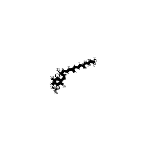 C/C(=C\CC/C(C)=C/CC[C@]1(C)CCc2c(C)c(O[SiH](C)C)c(C)c(C)c2O1)CCC=C(F)F